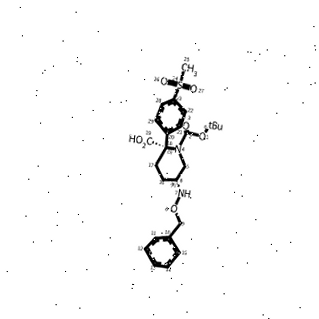 CC(C)(C)OC(=O)N1C[C@H](NOCc2ccccc2)CC[C@@]1(C(=O)O)c1ccc(S(C)(=O)=O)cc1